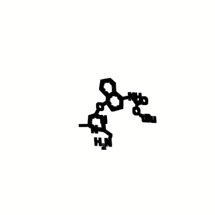 Cc1cc(Oc2ccc(NC(=O)OC(C)(C)C)c3ccccc23)nc(CN)n1